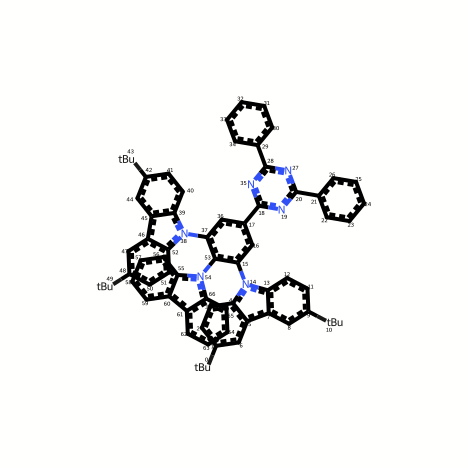 CC(C)(C)c1ccc2c(c1)c1cc(C(C)(C)C)ccc1n2-c1cc(-c2nc(-c3ccccc3)nc(-c3ccccc3)n2)cc(-n2c3ccc(C(C)(C)C)cc3c3cc(C(C)(C)C)ccc32)c1-n1c2ccccc2c2ccccc21